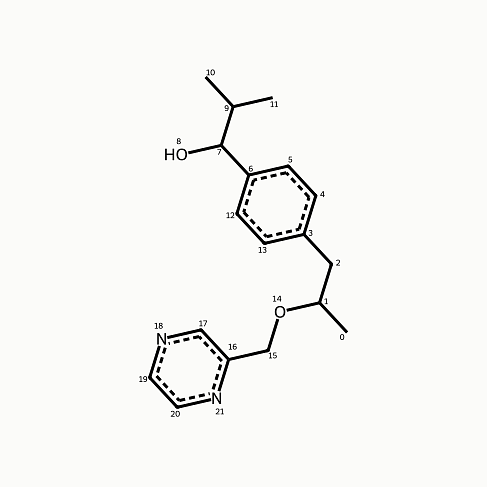 CC(Cc1ccc(C(O)C(C)C)cc1)OCc1cnccn1